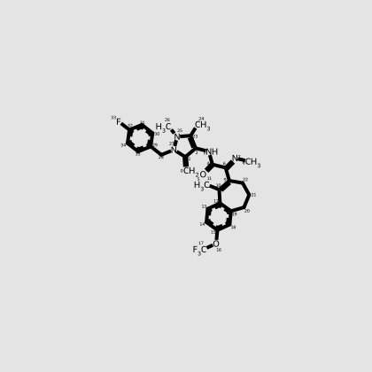 C=C1C(NC(=O)/C(=N/C)C2=C(C)c3ccc(OC(F)(F)F)cc3CCC2)=C(C)N(C)N1Cc1ccc(F)cc1